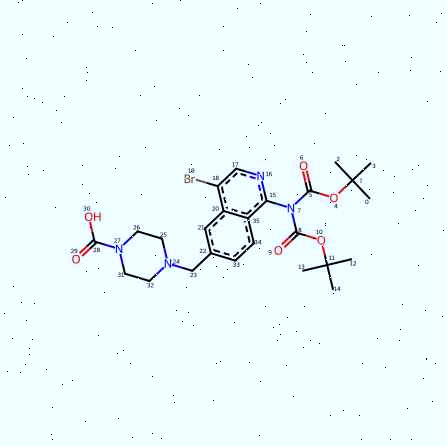 CC(C)(C)OC(=O)N(C(=O)OC(C)(C)C)c1ncc(Br)c2cc(CN3CCN(C(=O)O)CC3)ccc12